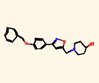 OC1CCN(Cc2cc(-c3ccc(OCc4ccccc4)cc3)no2)CC1